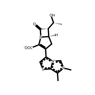 Cc1c2scc(C3=C(C(=O)[O-])N4C(=O)[C@H]([C@@H](C)O)[C@H]4C3)[n+]2cn1C